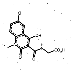 Cn1c(=O)c(C(=O)NCC(=O)O)c(O)c2cc(Cl)ccc21